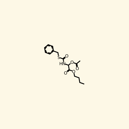 CCCCOC(=O)C(NC(=O)SCc1ccccc1)OC(C)=O